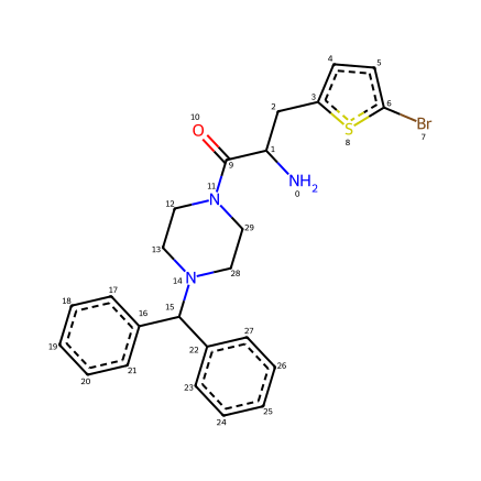 NC(Cc1ccc(Br)s1)C(=O)N1CCN(C(c2ccccc2)c2ccccc2)CC1